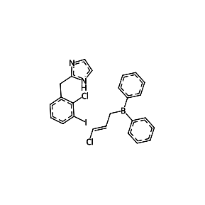 ClC=CCB(c1ccccc1)c1ccccc1.Clc1c(I)cccc1Cc1ncc[nH]1